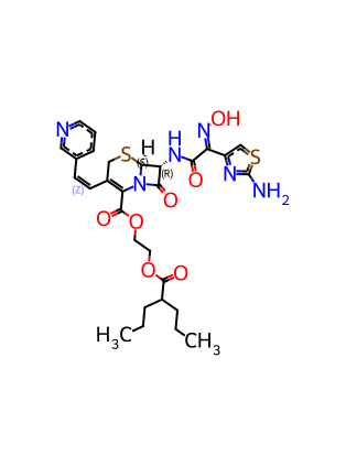 CCCC(CCC)C(=O)OCCOC(=O)C1=C(/C=C\c2cccnc2)CS[C@H]2[C@H](NC(=O)C(=NO)c3csc(N)n3)C(=O)N12